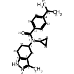 Cc1n[nH]c2c1CC(N(C(=O)c1ccc(C(C)C)cc1)C1CC1)CC2